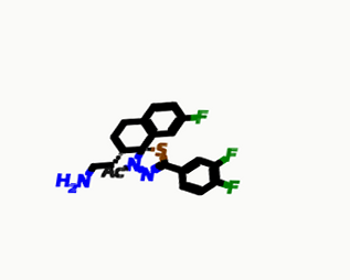 CC(=O)N1N=C(c2ccc(F)c(F)c2)S[C@]12c1cc(F)ccc1CC[C@H]2CCN